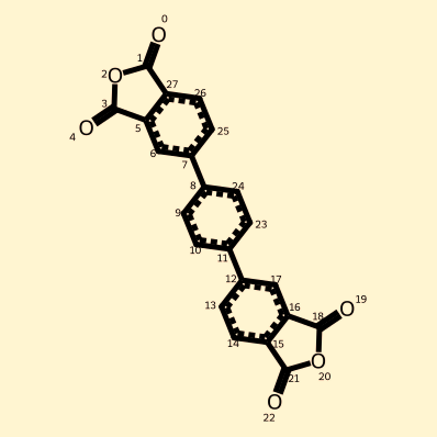 O=C1OC(=O)c2cc(-c3ccc(-c4ccc5c(c4)C(=O)OC5=O)cc3)ccc21